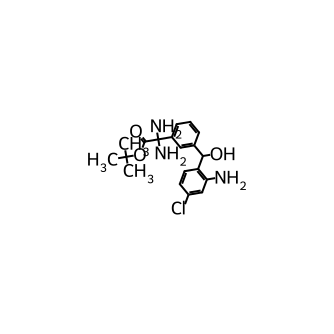 CC(C)(C)OC(=O)C(N)(N)c1cccc(C(O)c2ccc(Cl)cc2N)c1